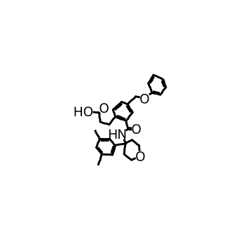 Cc1cc(C)cc(C2(NC(=O)c3cc(COc4ccccc4)ccc3CCC(=O)O)CCOCC2)c1